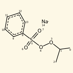 CC(C)OOS(=O)(=O)c1ccccc1.[Na]